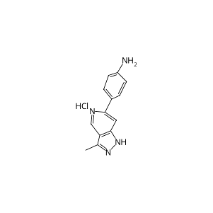 Cc1n[nH]c2cc(-c3ccc(N)cc3)ncc12.Cl